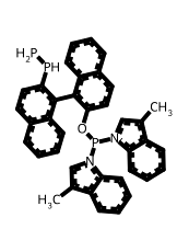 Cc1cn(P(Oc2ccc3ccccc3c2-c2c(PP)ccc3ccccc23)n2cc(C)c3ccccc32)c2ccccc12